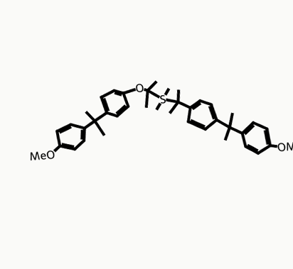 COc1ccc(C(C)(C)c2ccc(OC(C)(C)S(C)(C)C(C)(C)c3ccc(C(C)(C)c4ccc(OC)cc4)cc3)cc2)cc1